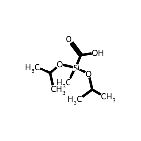 CC(C)O[Si](C)(OC(C)C)C(=O)O